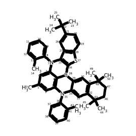 Cc1cc2c3c(c1)N(c1ccccc1C)c1c(sc4ccc(C(C)(C)C)cc14)B3c1cc3c(cc1N2c1ccccc1C)C(C)(C)CCC3(C)C